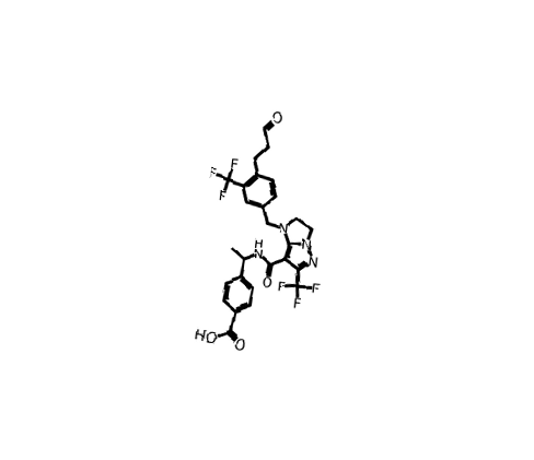 CC(NC(=O)c1c(C(F)(F)F)nn2c1N(Cc1ccc(CCC=O)c(C(F)(F)F)c1)CC2)c1ccc(C(=O)O)cc1